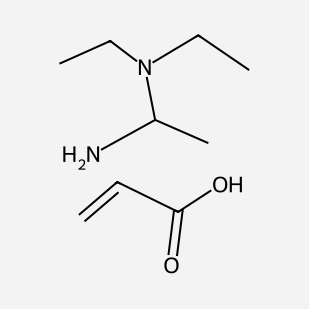 C=CC(=O)O.CCN(CC)C(C)N